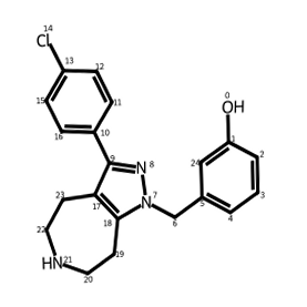 Oc1cccc(Cn2nc(-c3ccc(Cl)cc3)c3c2CCNCC3)c1